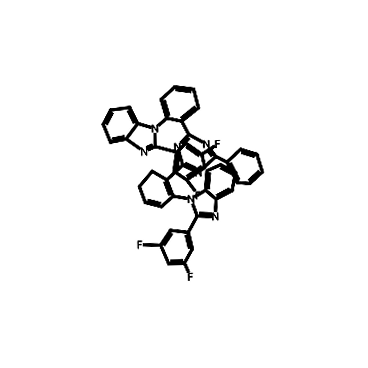 Fc1cc(F)cc(-c2nc3ccccc3n2C2=C(c3nc(-c4ccccc4)nc(-c4ccccc4-n4c(-c5cc(F)cc(F)c5)nc5ccccc54)n3)CCC=C2)c1